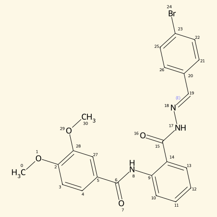 COc1ccc(C(=O)Nc2ccccc2C(=O)N/N=C/c2ccc(Br)cc2)cc1OC